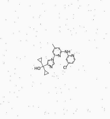 Cc1cc(Nc2cc(Cl)ccn2)nc(-n2cnc(C(O)(C3CC3)C3CC3)c2)c1